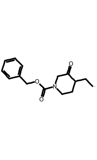 [CH2]CC1CCN(C(=O)OCc2ccccc2)CC1=O